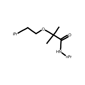 CCCNC(=O)C(C)(C)OCCC(C)C